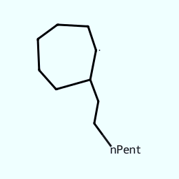 [CH2]CCCCCCC1[CH]CCCCC1